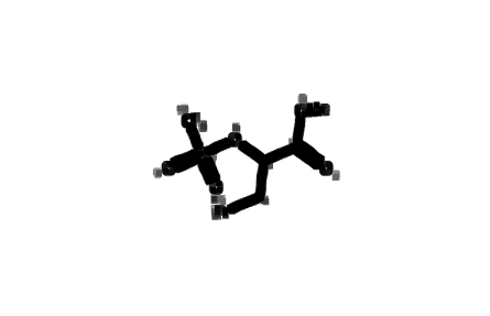 COC(=O)C(CC(C)C)OS(=O)(=O)C(F)(F)F